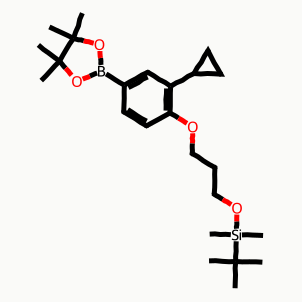 CC1(C)OB(c2ccc(OCCCO[Si](C)(C)C(C)(C)C)c(C3CC3)c2)OC1(C)C